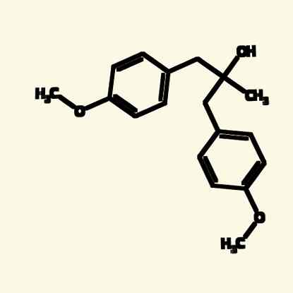 COc1ccc(CC(C)(O)Cc2ccc(OC)cc2)cc1